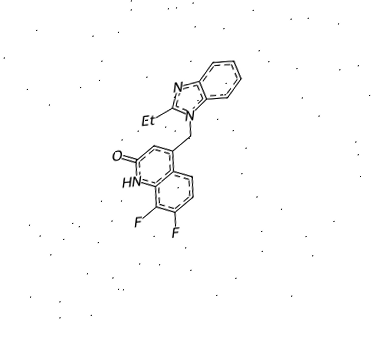 CCc1nc2ccccc2n1Cc1cc(=O)[nH]c2c(F)c(F)ccc12